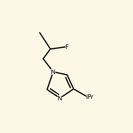 CC(F)Cn1cnc(C(C)C)c1